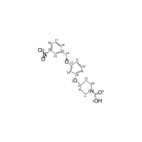 O=C(O)N1CCC(Oc2cccc(OCc3cccc([N+](=O)[O-])c3)c2)CC1